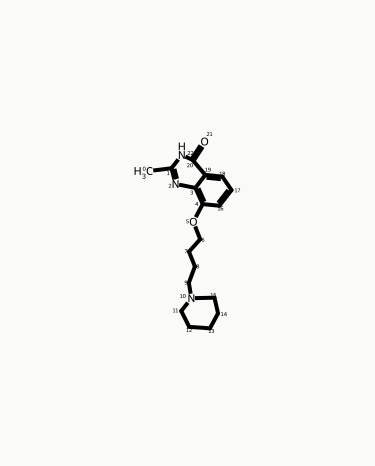 Cc1nc2c(OCCCCN3CCCCC3)cccc2c(=O)[nH]1